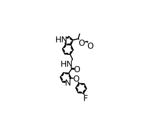 CC(OC=O)c1c[nH]c2ccc(CNC(=O)c3cccnc3Oc3ccc(F)cc3)cc12